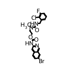 CN(CCOC(=O)Nc1cc2ccc(Br)cc2cn1)C(=O)NCc1cccc(F)c1Cl